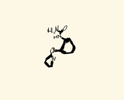 NC(=O)Nc1ccccc1Oc1ccccn1